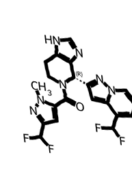 Cn1nc(C(F)F)cc1C(=O)N1CCc2[nH]cnc2[C@@H]1c1cc2c(C(F)F)cccn2n1